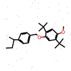 CCC(C)c1ccc(COc2cc(C(C)(C)C)c(OC)cc2C(C)(C)C)cc1